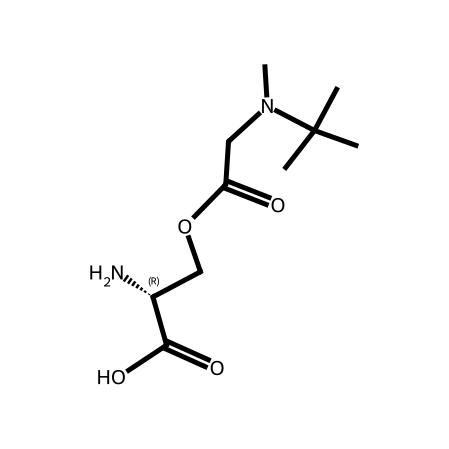 CN(CC(=O)OC[C@@H](N)C(=O)O)C(C)(C)C